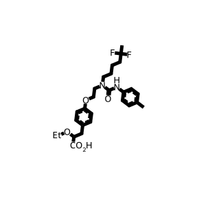 CCOC(Cc1ccc(OCCN(CCCCC(C)(F)F)C(=O)Nc2ccc(C)cc2)cc1)C(=O)O